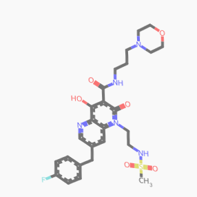 CS(=O)(=O)NCCn1c(=O)c(C(=O)NCCCN2CCOCC2)c(O)c2ncc(Cc3ccc(F)cc3)cc21